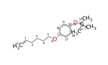 C=CCCCCOc1ccc(O[Si](C)(C)C)cc1